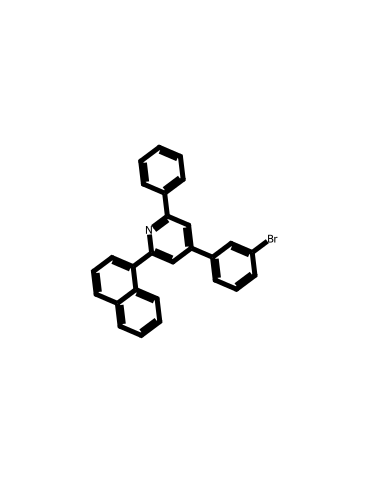 Brc1cccc(-c2cc(-c3ccccc3)nc(-c3cccc4ccccc34)c2)c1